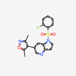 Cc1noc(C)c1-c1cnc2ccn(S(=O)(=O)c3ccccc3F)c2c1